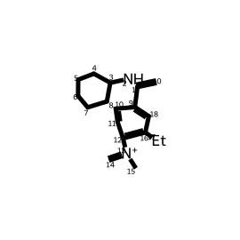 C=C(NC1CCCCC1)c1ccc([N+](=C)C)c(CC)c1